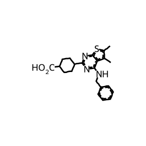 Cc1sc2nc(C3CCC(C(=O)O)CC3)nc(NCc3ccccc3)c2c1C